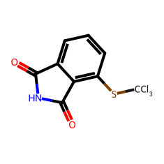 O=C1NC(=O)c2c(SC(Cl)(Cl)Cl)cccc21